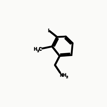 Cc1c(I)cccc1CN